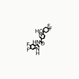 O=C(Nc1c[nH]c2cc(F)c(F)cc12)c1ccc(C2(O)CCC(F)(F)CC2)nc1